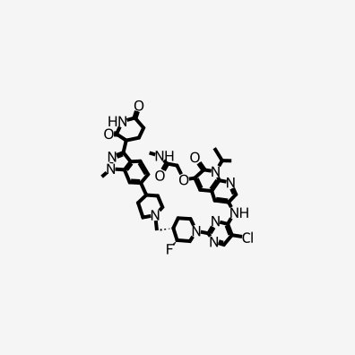 CNC(=O)COc1cc2cc(Nc3nc(N4CC[C@@H](CN5CCC(c6ccc7c(C8CCC(=O)NC8=O)nn(C)c7c6)CC5)[C@@H](F)C4)ncc3Cl)cnc2n(C(C)C)c1=O